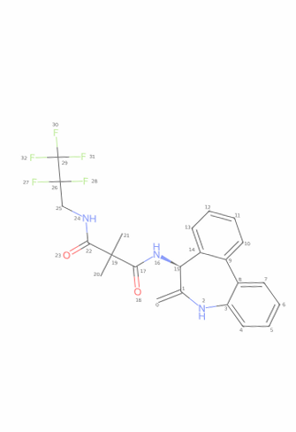 C=C1Nc2ccccc2-c2ccccc2[C@@H]1NC(=O)C(C)(C)C(=O)NCC(F)(F)C(F)(F)F